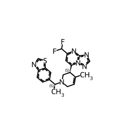 CC1=CCN([C@@H](C)c2ccc3ncsc3c2)C[C@H]1c1cc(C(F)F)nc2ncnn12